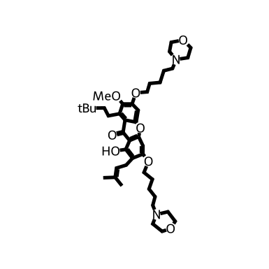 COc1c(OCCCCCN2CCOCC2)cc2oc3cc(OCCCCCN4CCOCC4)c(CC=C(C)C)c(O)c3c(=O)c2c1CCC(C)(C)C